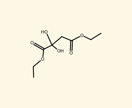 CCOC(=O)CC(O)(O)C(=O)OCC